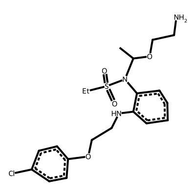 CCS(=O)(=O)N(c1ccccc1NCCOc1ccc(Cl)cc1)C(C)OCCN